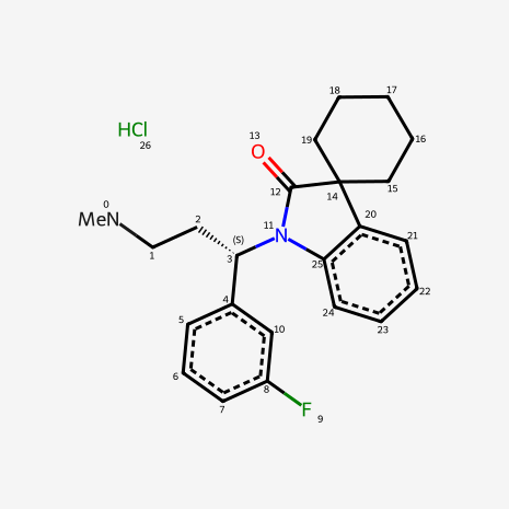 CNCC[C@@H](c1cccc(F)c1)N1C(=O)C2(CCCCC2)c2ccccc21.Cl